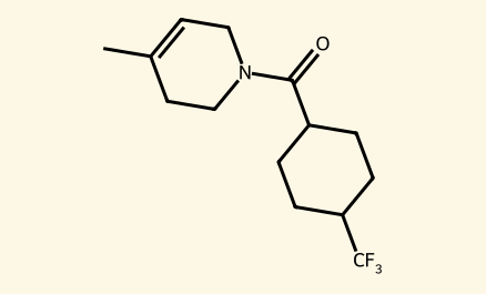 CC1=CCN(C(=O)C2CCC(C(F)(F)F)CC2)CC1